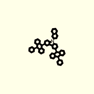 c1ccc(-c2c3ccccc3c(-c3ccc4c(c3)c3cc(-c5c6ccccc6c(-c6ccccc6)c6ccccc56)ccc3n4-c3ccc4ccccc4c3)c3ccccc23)cc1